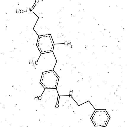 Cc1cc(CC[PH](=O)O)cc(C)c1Cc1ccc(O)c(C(=O)NCCc2ccccc2)c1